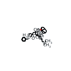 CCC(C)(CC(C)(CC(C)(C)C(=O)OCCN(C)C)C(=O)OC1C2CC3CC(C2)CC1C3)C(=O)OCc1ccccc1